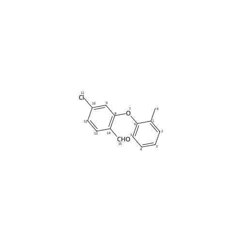 Cc1ccccc1Oc1cc(Cl)ccc1C=O